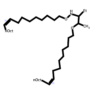 CCCCCCCC/C=C\CCCCCCCCONC(CC)C(C)OCCCCCCCC/C=C\CCCCCCCC